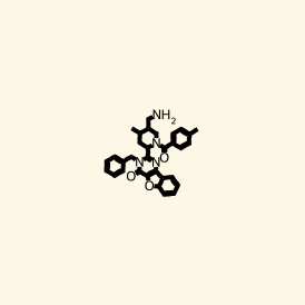 Cc1ccc(C(=O)N2CC(CN)C(C)CC2c2nc3c(c(=O)n2Cc2ccccc2)OC2C=CC=CC32)cc1